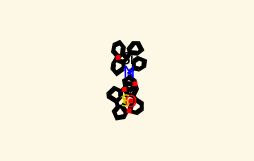 O=S12(c3ccccc3-c3ccccc31)c1ccccc1-c1cccc(-c3cccc(N4c5ccccc5[Si](c5ccccc5)(c5ccccc5)c5ccccc54)c3)c12